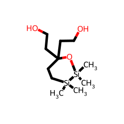 C[Si]1(C)CCC(CCO)(CCO)O[Si]1(C)C